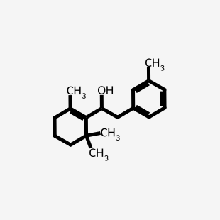 CC1=C(C(O)Cc2cccc(C)c2)C(C)(C)CCC1